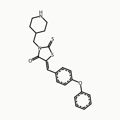 O=C1C(=Cc2ccc(Oc3ccccc3)cc2)SC(=S)N1CC1CCNCC1